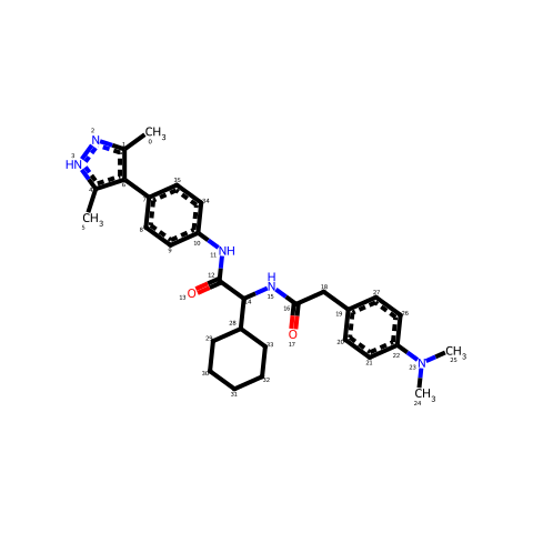 Cc1n[nH]c(C)c1-c1ccc(NC(=O)C(NC(=O)Cc2ccc(N(C)C)cc2)C2CCCCC2)cc1